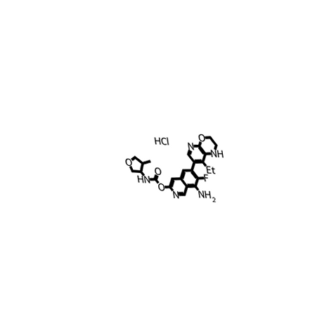 CCc1c(-c2cc3cc(OC(=O)NC4COCC4C)ncc3c(N)c2F)cnc2c1NCCO2.Cl